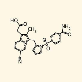 Cc1c(CC(=O)O)c2ccc(C#N)cn2c1Cc1cccn1S(=O)(=O)c1ccc(C(N)=O)cc1